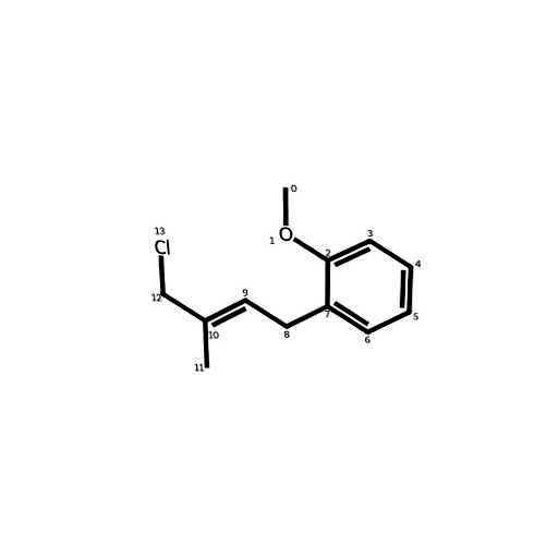 COc1ccccc1C/C=C(\C)CCl